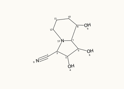 N#CC1C(O)C(O)C2C(O)CCCN12